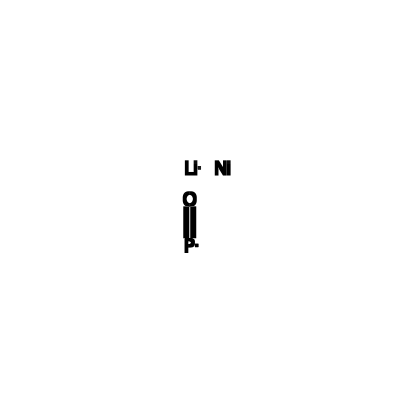 O=[P].[Li].[Ni]